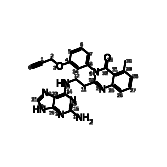 C#CCOc1cccc(-n2c(CCNc3nc(N)nc4[nH]cnc34)nc3cccc(C)c3c2=O)c1